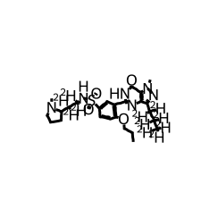 [2H]C([2H])([2H])C([2H])([2H])C([2H])([2H])c1nn(C)c2c(=O)[nH]c(-c3cc(S(=O)(=O)NC([2H])([2H])C([2H])([2H])C4CCCN4C)ccc3OCCC)nc12